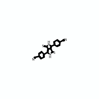 N#Cc1ccc(C2=C3C(=S)NC(c4ccc(C#N)cc4)=C3C(=S)N2)cc1